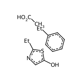 CC(=O)O.CCc1ccccc1.CCc1ncc(O)s1